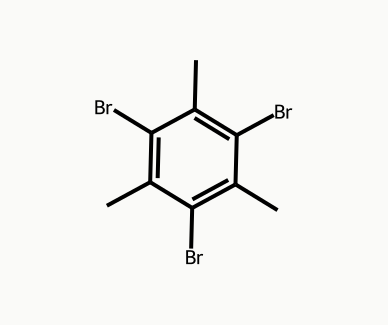 Cc1c(Br)c(C)c(Br)c(C)c1Br